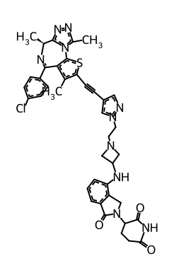 Cc1c(C#Cc2cnn(CCN3CC(Nc4cccc5c4CN(C4CCC(=O)NC4=O)C5=O)C3)c2)sc2c1C(c1ccc(Cl)cc1)=N[C@@H](C)c1nnc(C)n1-2